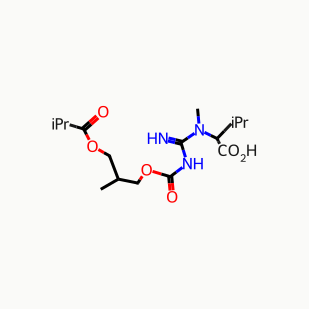 CC(COC(=O)NC(=N)N(C)C(C(=O)O)C(C)C)COC(=O)C(C)C